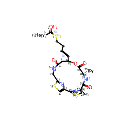 CCCCCCC/C(O)=[SH]\CC/C=C/[C@@H]1CC(=O)NCc2nc(cs2)C2=N[C@@](C)(CS2)C(=O)N[C@@H](C(C)C)C(=O)O1